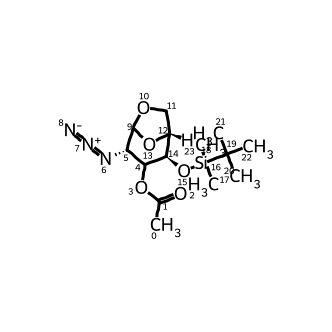 CC(=O)OC1[C@H](N=[N+]=[N-])C2OC[C@@H](O2)[C@H]1O[Si](C)(C)C(C)(C)C